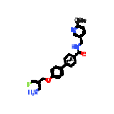 COc1ccc(CNC(=O)C23CCC(c4ccc(OCC(=CF)CN)cc4)(CC2)CC3)cn1